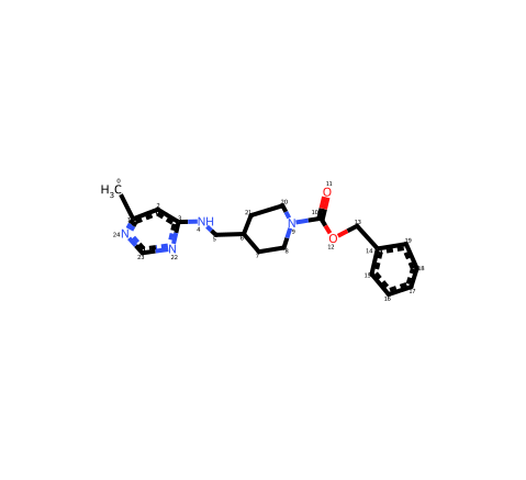 Cc1cc(NCC2CCN(C(=O)OCc3ccccc3)CC2)ncn1